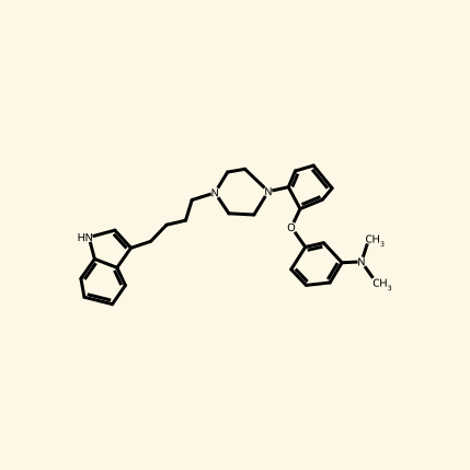 CN(C)c1cccc(Oc2ccccc2N2CCN(CCCCc3c[nH]c4ccccc34)CC2)c1